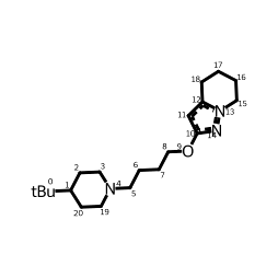 CC(C)(C)C1CCN(CCCCOc2cc3n(n2)CCCC3)CC1